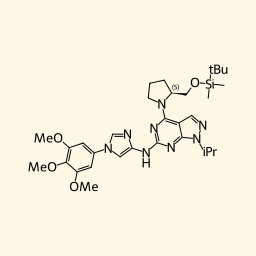 COc1cc(-n2cnc(Nc3nc(N4CCC[C@H]4CO[Si](C)(C)C(C)(C)C)c4cnn(C(C)C)c4n3)c2)cc(OC)c1OC